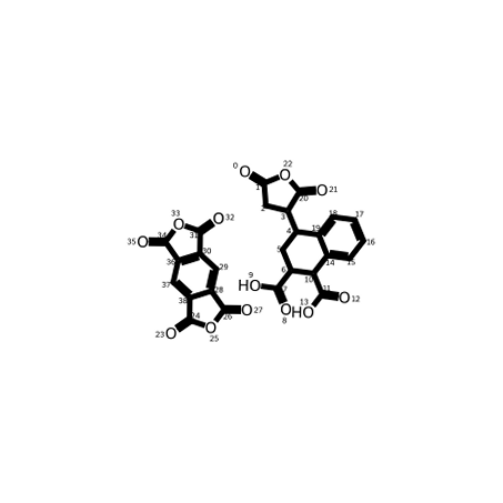 O=C1CC(C2CC(C(=O)O)C(C(=O)O)c3ccccc32)C(=O)O1.O=c1oc(=O)c2cc3c(=O)oc(=O)c3cc12